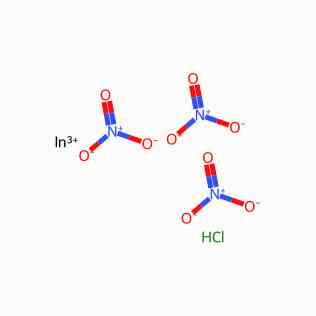 Cl.O=[N+]([O-])[O-].O=[N+]([O-])[O-].O=[N+]([O-])[O-].[In+3]